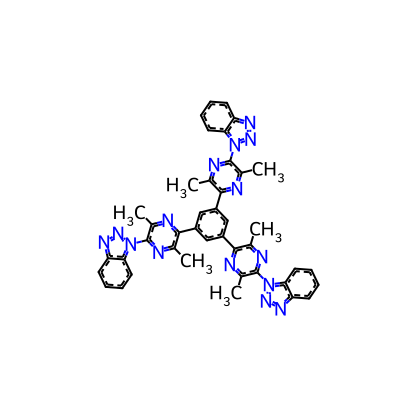 Cc1nc(-n2nnc3ccccc32)c(C)nc1-c1cc(-c2nc(C)c(-n3nnc4ccccc43)nc2C)cc(-c2nc(C)c(-n3nnc4ccccc43)nc2C)c1